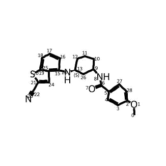 COc1ccc(C(=O)NC2CCC[C@H](Nc3cccc4sc(C#N)cc34)C2)cc1